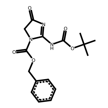 CC(C)(C)OC(=O)NC1=NC(=O)CN1C(=O)OCc1ccccc1